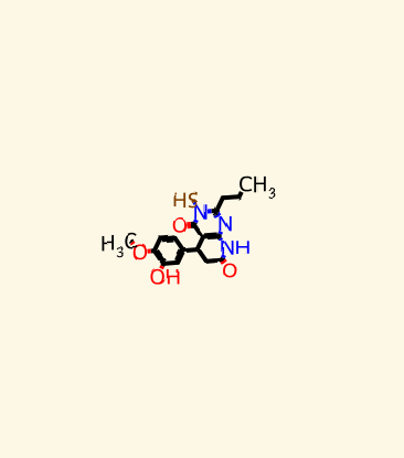 CCCc1nc2c(c(=O)n1S)C(c1ccc(OC)c(O)c1)CC(=O)N2